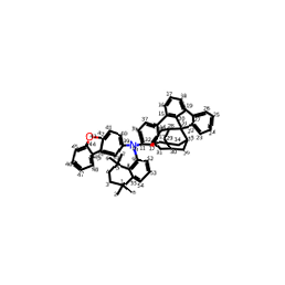 CC1(C)CCC(C)(C)c2c(N(c3ccc(-c4cccc5c4C4(c6ccccc6-5)C5CC6CC(C5)CC4C6)cc3)c3ccc4oc5ccccc5c4c3)cccc21